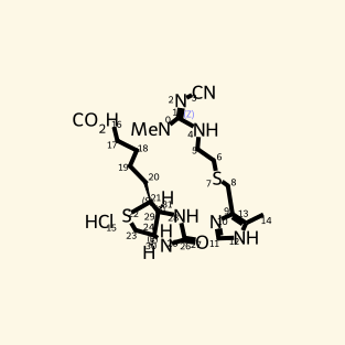 CN/C(=N/C#N)NCCSCc1nc[nH]c1C.Cl.O=C(O)CCCC[C@@H]1SC[C@@H]2NC(=O)N[C@@H]21